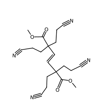 COC(=O)C(/C=C/C(CCC#N)(CCC#N)C(=O)OC)(CCC#N)CCC#N